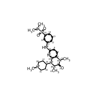 C[C@@H]1C(=O)N(C)c2ccc(Nc3cccc(S(=O)(=O)N(C)C)c3)nc2N1C1CCN(C)CC1